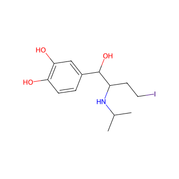 CC(C)NC(CCI)C(O)c1ccc(O)c(O)c1